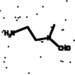 CN(C=O)CCN